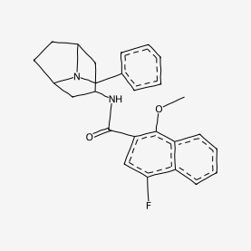 COc1c(C(=O)NC2CC3CCC(C2)N3Cc2ccccc2)cc(F)c2ccccc12